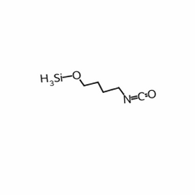 O=C=NCCCCO[SiH3]